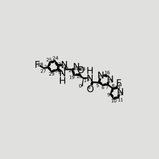 C[C@H](NC(=O)c1cc(-c2cccnc2F)ncn1)c1cc(-c2nc3ccc(CF)cc3[nH]2)no1